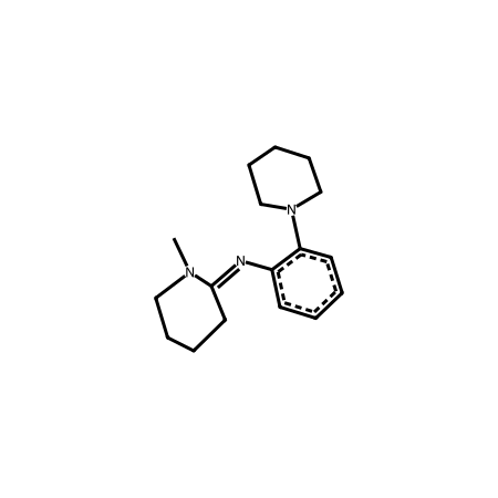 CN1CCCC/C1=N\c1ccccc1N1CCCCC1